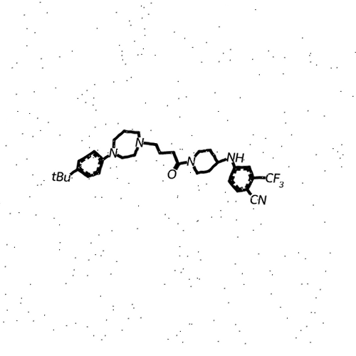 CC(C)(C)c1ccc(N2CCCN(CCCC(=O)N3CCC(Nc4ccc(C#N)c(C(F)(F)F)c4)CC3)CC2)cc1